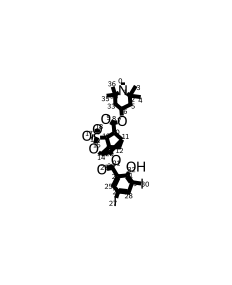 CN1C(C)(C)CC(OC(=O)C2C3CC4C(OS(=O)(=O)C42)C3OC(=O)c2cc(I)cc(I)c2O)CC1(C)C